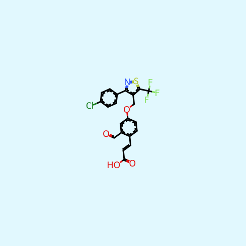 O=Cc1cc(OCc2c(-c3ccc(Cl)cc3)nsc2C(F)(F)F)ccc1C=CC(=O)O